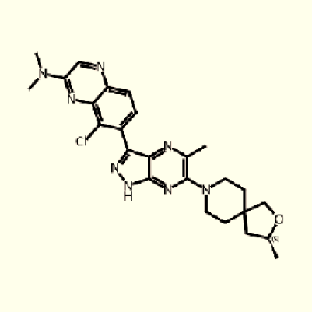 Cc1nc2c(-c3ccc4ncc(N(C)C)nc4c3Cl)n[nH]c2nc1N1CCC2(CC1)CO[C@@H](C)C2